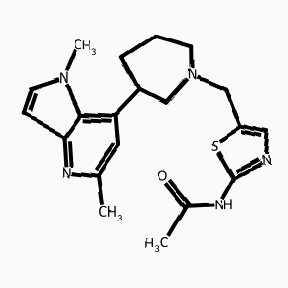 CC(=O)Nc1ncc(CN2CCCC(c3cc(C)nc4ccn(C)c34)C2)s1